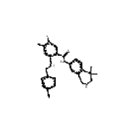 CC1(C)CNCc2cc(NC(=O)c3cc(F)c(F)cc3NCc3ccc(F)cc3)ccc21